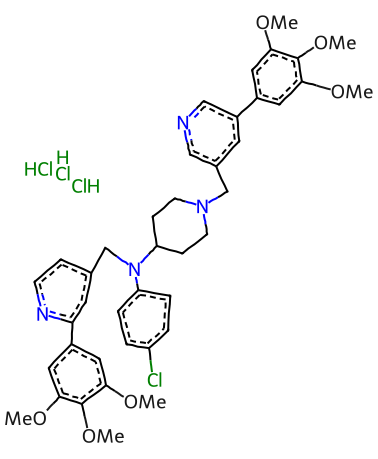 COc1cc(-c2cncc(CN3CCC(N(Cc4ccnc(-c5cc(OC)c(OC)c(OC)c5)c4)c4ccc(Cl)cc4)CC3)c2)cc(OC)c1OC.Cl.Cl.Cl